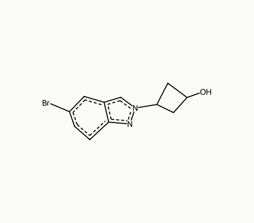 OC1CC(n2cc3cc(Br)ccc3n2)C1